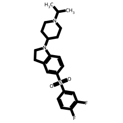 CC(C)N1CCC(N2CCc3cc(S(=O)(=O)c4ccc(F)c(F)c4)ccc32)CC1